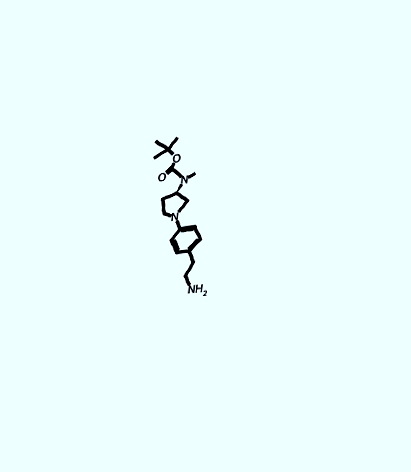 CN(C(=O)OC(C)(C)C)[C@@H]1CCN(c2ccc(CCN)cc2)C1